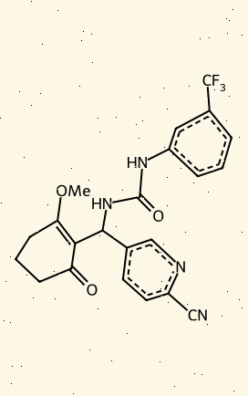 COC1=C(C(NC(=O)Nc2cccc(C(F)(F)F)c2)c2ccc(C#N)nc2)C(=O)CCC1